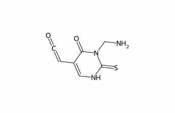 NCn1c(=S)[nH]cc(C=C=O)c1=O